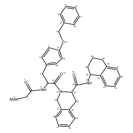 CNCC(=O)NC(Cc1ccc(OCc2ccccc2)cc1)C(=O)N1Cc2ccccc2CC1C(=O)NC1CCCc2ccccc21